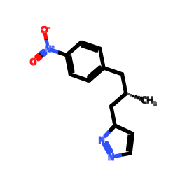 C[C@@H](Cc1ccc([N+](=O)[O-])cc1)CC1C=CN=N1